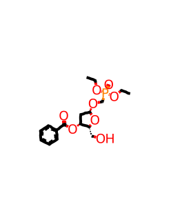 CCOP(=O)(CO[C@@H]1C[C@H](OC(=O)c2ccccc2)[C@@H](CO)O1)OCC